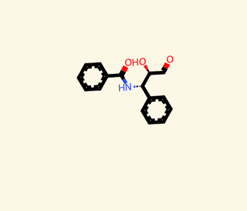 O=C[C@H](O)[C@@H](NC(=O)c1ccccc1)c1ccccc1